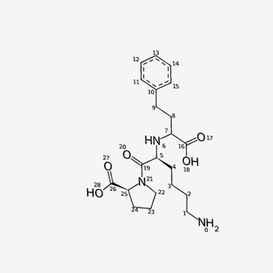 NCCCC[C@H](NC(CCc1ccccc1)C(=O)O)C(=O)N1CCC[C@H]1C(=O)O